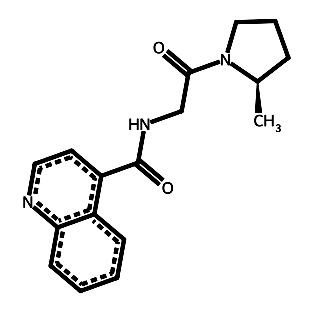 C[C@@H]1CCCN1C(=O)CNC(=O)c1ccnc2ccccc12